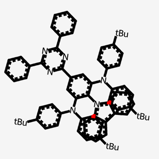 CC(C)(C)c1ccc(N(c2ccc(C(C)(C)C)cc2)c2cc(-c3nc(-c4ccccc4)nc(-c4ccccc4)n3)cc(N(c3ccc(C(C)(C)C)cc3)c3ccc(C(C)(C)C)cc3)c2-n2c3ccccc3c3ccccc32)cc1